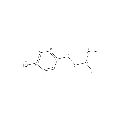 COC(C)CCc1ccc(O)cc1